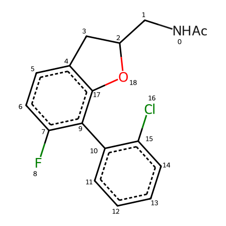 CC(=O)NCC1Cc2ccc(F)c(-c3ccccc3Cl)c2O1